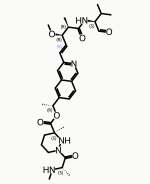 CN[C@@H](C)C(=O)N1CCC[C@@](C)(C(=O)O[C@H](C)c2ccc3cnc(/C=C/[C@@H](OC)[C@@H](C)C(=O)N[C@H](C=O)C(C)C)cc3c2)N1